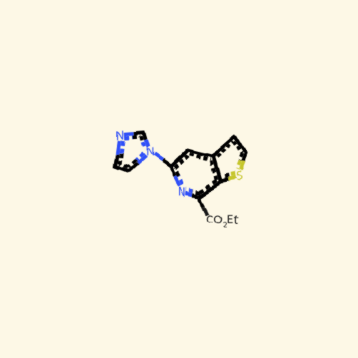 CCOC(=O)c1nc(-n2ccnc2)cc2ccsc12